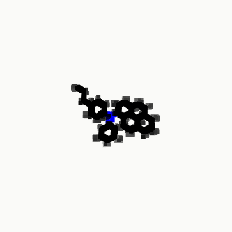 CCCc1ccc(N(c2ccccc2)c2ccc3ccc4c5c3c2CC=C5C=CC4)cc1